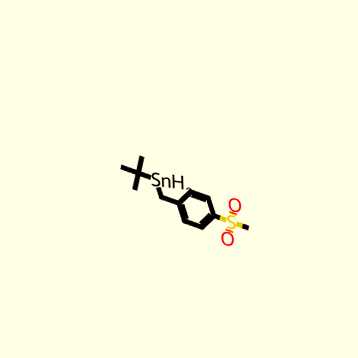 C[C](C)(C)[SnH2][CH2]c1ccc(S(C)(=O)=O)cc1